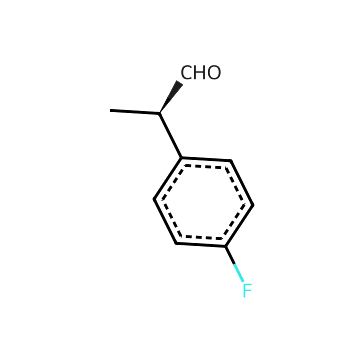 C[C@@H](C=O)c1ccc(F)cc1